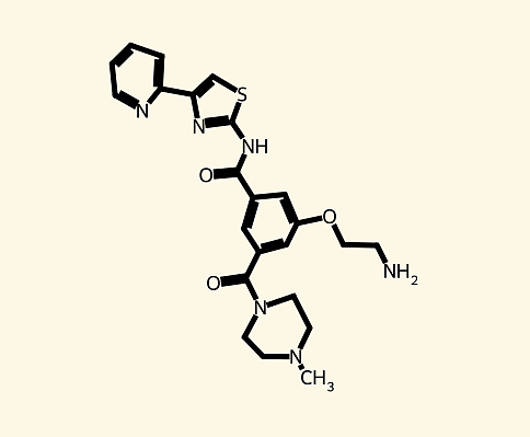 CN1CCN(C(=O)c2cc(OCCN)cc(C(=O)Nc3nc(-c4ccccn4)cs3)c2)CC1